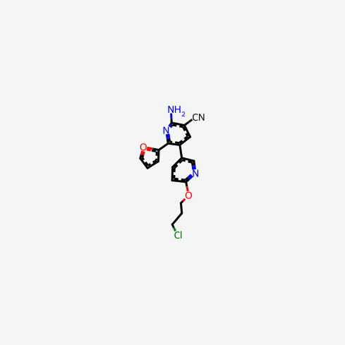 N#Cc1cc(-c2ccc(OCCCCl)nc2)c(-c2ccco2)nc1N